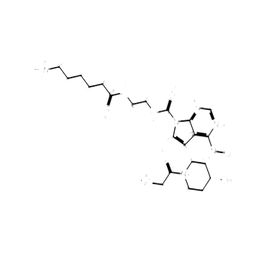 C[C@@H]1CCN(C(=O)CC#N)C[C@@H]1N(C)c1ncnc2c1ccn2C(=O)OCCOC(=O)CCCCCN